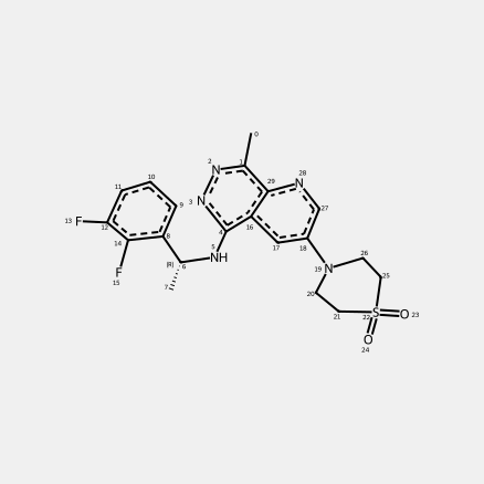 Cc1nnc(N[C@H](C)c2cccc(F)c2F)c2cc(N3CCS(=O)(=O)CC3)cnc12